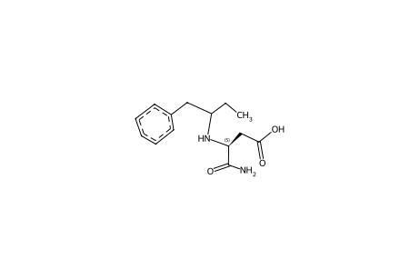 CCC(Cc1ccccc1)N[C@@H](CC(=O)O)C(N)=O